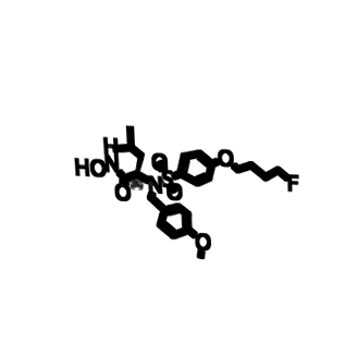 COc1ccc(CN([C@H](CC(C)C)C(=O)NO)S(=O)(=O)c2ccc(OCCCCF)cc2)cc1